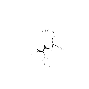 CCCCOOC(C(=O)OC(COC(=O)O)C(C)(C)C)=C(C)C